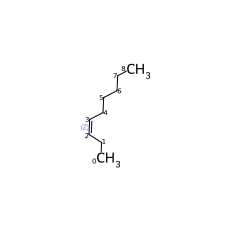 CC/C=C\CCCCC